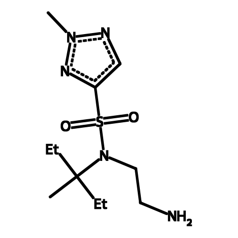 CCC(C)(CC)N(CCN)S(=O)(=O)c1cnn(C)n1